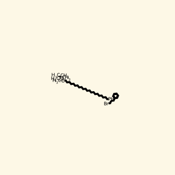 CC(C)(C)[Si](C)(C)OCCCCCCCCCCCCCCCCCCCCCCPC(CBr)Cc1ccccc1